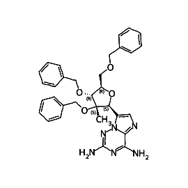 C[C@@]1(OCc2ccccc2)[C@H](OCc2ccccc2)[C@@H](COCc2ccccc2)O[C@H]1c1cnc2c(N)nc(N)nn12